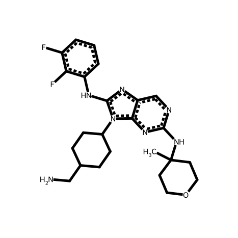 CC1(Nc2ncc3nc(Nc4cccc(F)c4F)n(C4CCC(CN)CC4)c3n2)CCOCC1